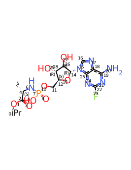 CC(C)OC(=O)[C@H](C)NP(=O)(O)OC[C@@H]1O[C@@H](n2cnc3c(N)nc(F)nc32)[C@H](O)[C@H]1O